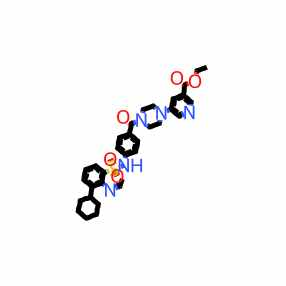 C/C=N\c1c(C2CCCCC2)cccc1S(=O)(=O)Nc1ccc(C(=O)N2CCN(c3cncc(C(=O)OCC)c3)CC2)cc1